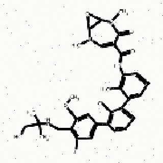 COc1cc(-c2cccc(-c3cccc(NC(=O)C4=CN(C)C5OC5N(C)C4=O)c3C)c2Cl)cc(F)c1CNC(C)(C)CO